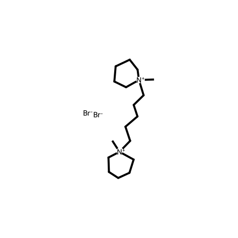 C[N+]1(CCCCC[N+]2(C)CCCCC2)CCCCC1.[Br-].[Br-]